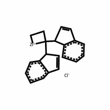 C1=CC([C]2(C3C=Cc4ccccc43)C[CH2][Zr+]2)c2ccccc21.[Cl-]